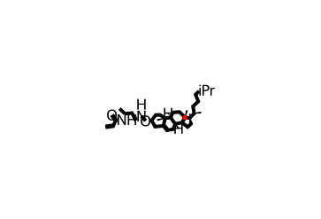 C=CC(=O)NC(C)CCNO[C@H]1CC[C@@]2(C)C(=CC[C@H]3[C@@H]4CC[C@H]([C@H](C)CCCC(C)C)[C@@]4(C)CC[C@@H]32)C1